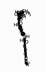 CC(C)(C)OC(=O)N[C@@H](C[C@H](CCCC(=O)Nc1ccc(/N=N/c2ccc(NCCNC(=O)CCOCCOCCOCCOCCN=[N+]=[N-])cc2)cc1)C(=O)O)C(=O)O